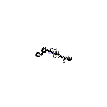 CCNC(=S)NCCSCC(=O)NC/C(O)=C/Cc1cc(CN2CCCCC2)ccn1